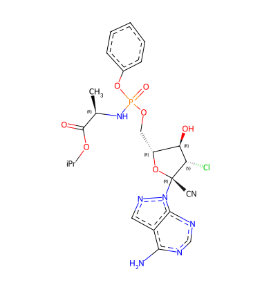 CC(C)OC(=O)[C@@H](C)NP(=O)(OC[C@H]1O[C@@](C#N)(n2ncc3c(N)ncnc32)[C@@H](Cl)[C@@H]1O)Oc1ccccc1